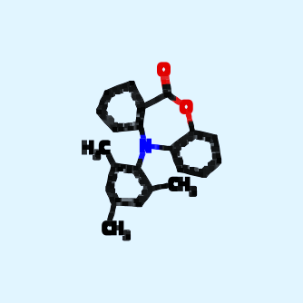 Cc1cc(C)c(N2c3ccccc3OC(=O)c3ccccc32)c(C)c1